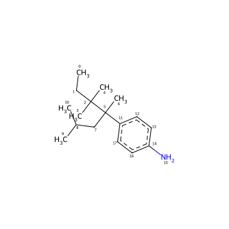 CCC(C)(C)C(C)(CC(C)C)c1ccc(N)cc1